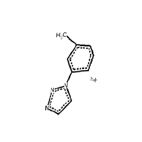 Cc1cccc(-n2ccnn2)c1.[2H]